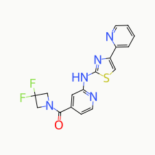 O=C(c1ccnc(Nc2nc(-c3ccccn3)cs2)c1)N1CC(F)(F)C1